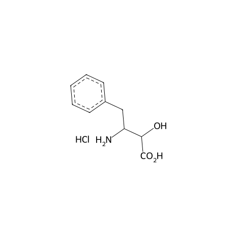 Cl.NC(Cc1ccccc1)C(O)C(=O)O